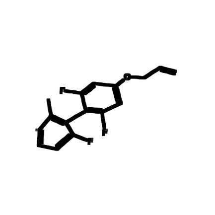 C=CCOc1cc(F)c(-c2c(C)[c]ccc2F)c(F)c1